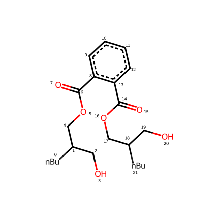 CCCCC(CO)COC(=O)c1ccccc1C(=O)OCC(CO)CCCC